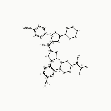 COc1ccc([C@@H]2CN(C3CCOCC3)C[C@H]2C(=O)N2CC[C@@H](c3ccc(C(F)(F)F)cc3N3CCC(C(=O)N(C)C)CC3)C2)cc1